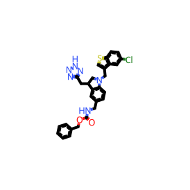 O=C(NCc1ccc2c(c1)C(Cc1nn[nH]n1)CN2Cc1csc2ccc(Cl)cc12)OCc1ccccc1